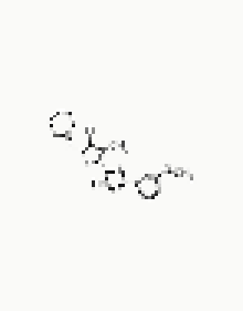 COc1cccc(-c2c[nH]c([C@@H]3C[C@H](CN4CCCCC4)C(=O)N3C)n2)c1